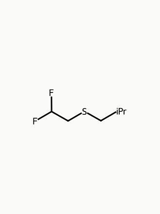 CC(C)CSCC(F)F